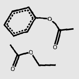 CC(=O)Oc1ccccc1.CCOC(C)=O